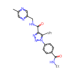 CCCc1c(C(=O)NCc2cnc(C)cn2)nnn1-c1ccc(C(=O)NCC)cc1